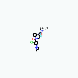 Cc1ccn(-c2ccc(C(=O)N3CCC(F)(F)/C(=C\C(=O)N(C)CC(=O)O)c4ccccc43)c(Cl)c2)n1